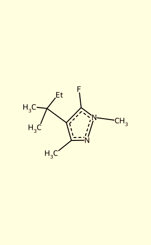 CCC(C)(C)c1c(C)nn(C)c1F